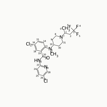 CC(CC(F)(F)F)N1CCC(N(C)c2ccc(Cl)cc2C(=O)Nc2ccc(Cl)cn2)CC1